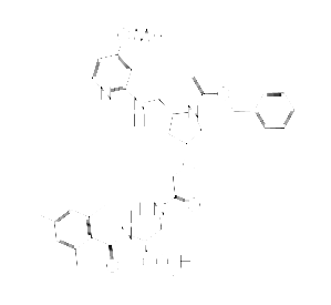 C=C(OCc1ccccc1)N1C[C@H](OCC(=O)NC[C@H](NC(=O)c2c(C)cc(C)cc2C)C(=O)O)C[C@H]1CNc1cc(OC)ccn1